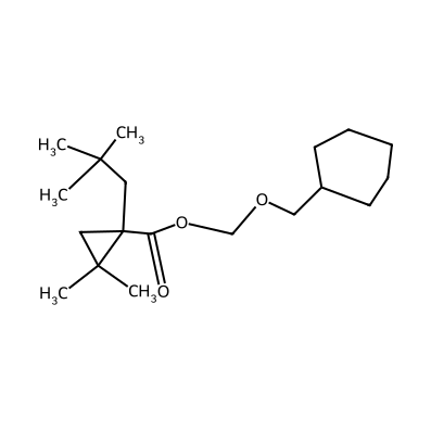 CC(C)(C)CC1(C(=O)OCOCC2CCCCC2)CC1(C)C